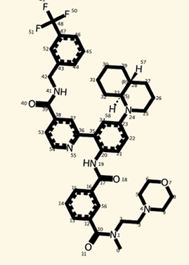 CN(CCN1CCOCC1)C(=O)c1cccc(C(=O)Nc2ccc(N3CCC[C@H]4CCCC[C@@H]43)cc2-c2cc(C(=O)NCc3cccc(C(F)(F)F)c3)ccn2)c1